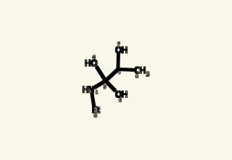 CCNC(O)(O)C(C)O